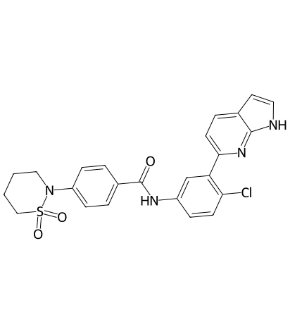 O=C(Nc1ccc(Cl)c(-c2ccc3cc[nH]c3n2)c1)c1ccc(N2CCCCS2(=O)=O)cc1